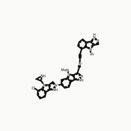 CNn1c2cc(-[n+]3cc4c([nH]3)c3cccc(Cl)c3n4C3CN3)ccc2c2[nH]nc(C#[N+]C#Cc3cccc4c5[nH]ncc5n(C(C)C)c34)c21